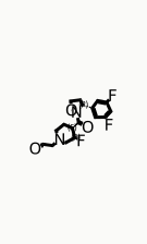 O=CCN1CC[C@@H](C(=O)N2OCC[C@@H]2c2cc(F)cc(F)c2)[C@@H](F)C1